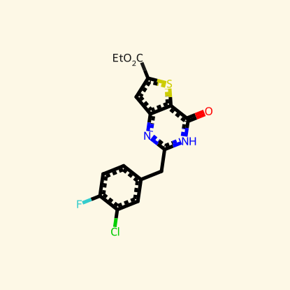 CCOC(=O)c1cc2nc(Cc3ccc(F)c(Cl)c3)[nH]c(=O)c2s1